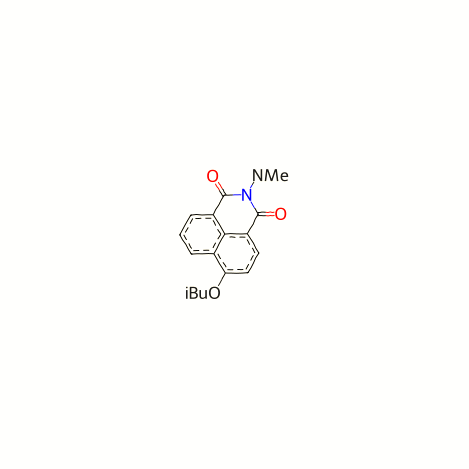 CNN1C(=O)c2cccc3c(OCC(C)C)ccc(c23)C1=O